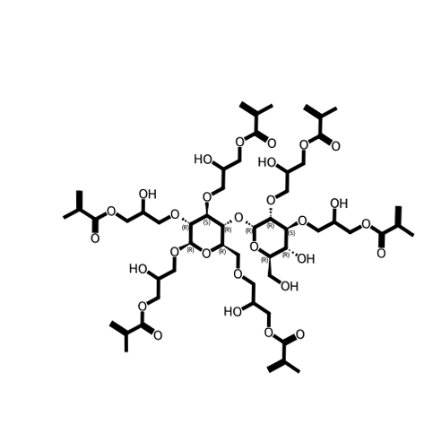 C=C(C)C(=O)OCC(O)COC[C@H]1O[C@@H](OCC(O)COC(=O)C(=C)C)[C@H](OCC(O)COC(=O)C(=C)C)[C@@H](OCC(O)COC(=O)C(=C)C)[C@@H]1O[C@H]1O[C@H](CO)[C@@H](O)[C@H](OCC(O)COC(=O)C(=C)C)[C@H]1OCC(O)COC(=O)C(=C)C